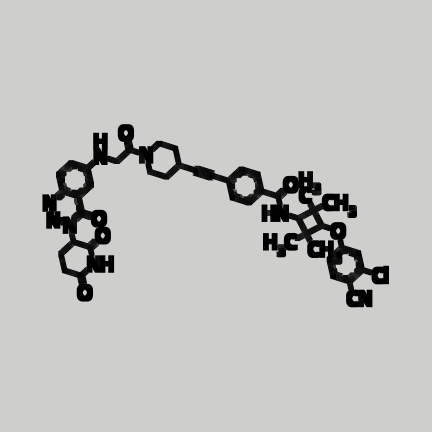 CC1(C)C(NC(=O)c2ccc(C#CC3CCN(C(=O)CNc4ccc5nnn(C6CCC(=O)NC6=O)c(=O)c5c4)CC3)cc2)C(C)(C)C1Oc1ccc(C#N)c(Cl)c1